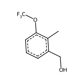 Cc1c(CO)cccc1OC(F)(F)F